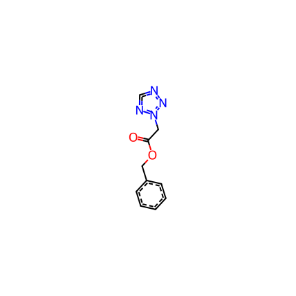 O=C(Cn1ncnn1)OCc1ccccc1